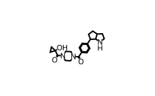 O=C(c1ccc(C2CCC3CCNC32)cc1)N1CCN(C(=O)C2(O)CC2)CC1